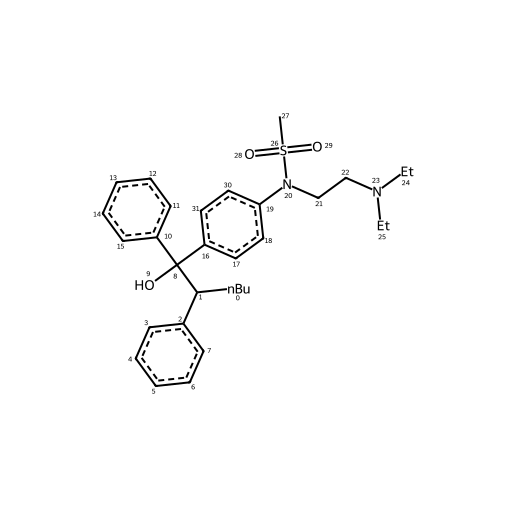 CCCCC(c1ccccc1)C(O)(c1ccccc1)c1ccc(N(CCN(CC)CC)S(C)(=O)=O)cc1